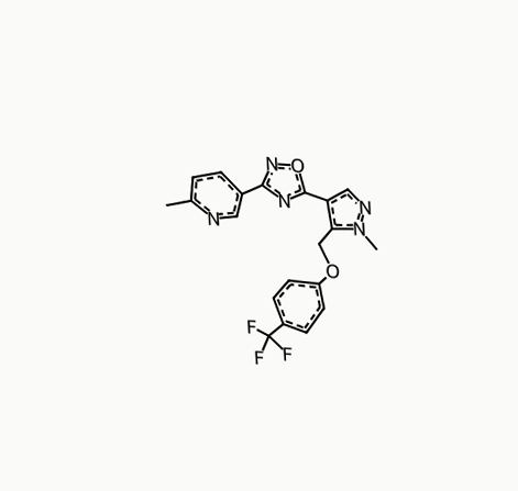 Cc1ccc(-c2noc(-c3cnn(C)c3COc3ccc(C(F)(F)F)cc3)n2)cn1